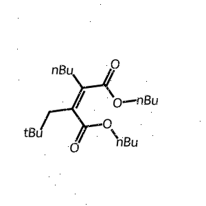 CCCCOC(=O)C(CCCC)=C(CC(C)(C)C)C(=O)OCCCC